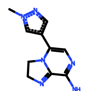 Cn1cc(C2=CN=C(N)C3=NCCN23)cn1